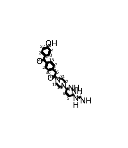 N=CNC(=N)/C=C\C(=N)N1CCN(C(=O)Cc2ccc(C(=O)c3ccc(O)cc3)cc2)CC1